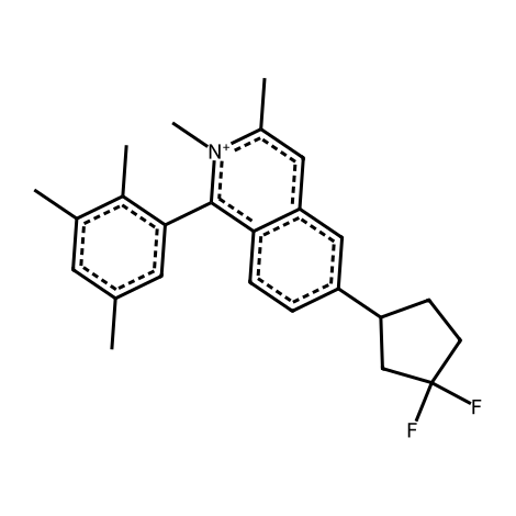 Cc1cc(C)c(C)c(-c2c3ccc(C4CCC(F)(F)C4)cc3cc(C)[n+]2C)c1